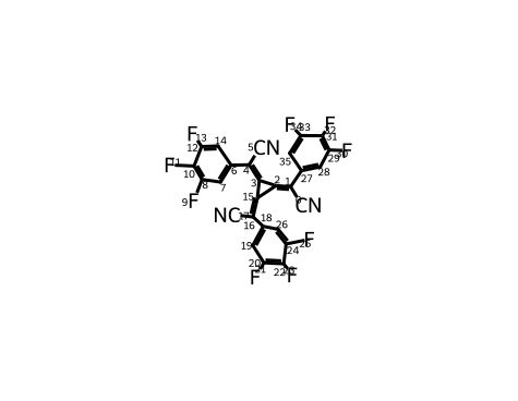 N#CC(=C1C(=C(C#N)c2cc(F)c(F)c(F)c2)C1=C(C#N)c1cc(F)c(F)c(F)c1)c1cc(F)c(F)c(F)c1